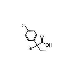 CCC(Br)(C(=O)O)c1ccc(Cl)cc1